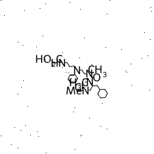 CNCC(CC1CCCCC1)N(C)C(=O)N(C)CCN(CCCNC(=O)O)c1cccc(Cl)c1